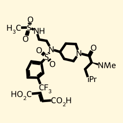 CN[C@@H](CC(C)C)C(=O)N1CCC(N(CCNS(C)(=O)=O)S(=O)(=O)c2cccc(C(F)(F)F)c2)CC1.O=C(O)C=CC(=O)O